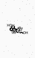 CN(CCN(CCCO)C(=O)OC(C)(C)C)S(=O)(=O)c1cccc2c(O)ncc(C3CC3)c12